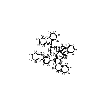 c1ccc2cc(-c3nc(-c4c(-n5c6cc7ccccc7cc6c6c7ccccc7ccc65)ccc5c4oc4ccccc45)nc(-n4c5ccccc5c5ccccc54)n3)ccc2c1